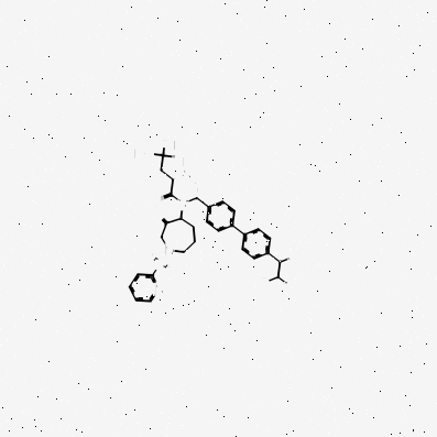 CC(C)(F)C[C@H](N)C(=O)N(C1CCCN(S(=O)(=O)c2ccccn2)CC1=O)[C@@H](c1ccc(-c2ccc(C(O)C(F)F)cc2)cc1)C(F)(F)F